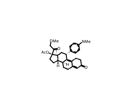 CNc1ccc([C@H]2C[C@@]3(C)[C@@H](CC[C@]3(OC(C)=O)C(=O)COC)[C@@H]3CCC4=CC(=O)CCC4=C32)cc1